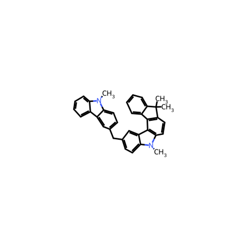 Cn1c2ccccc2c2cc(Cc3ccc4c(c3)c3c5c(ccc3n4C)C(C)(C)c3ccccc3-5)ccc21